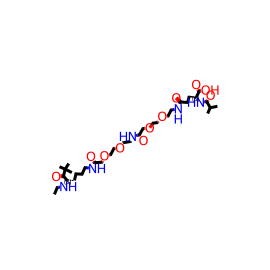 CCN[C@@H](CCCCNC(=O)COCCOCCNC(=O)COCCOCCNC(=O)CC[C@H](NC(=O)C(C)C)C(=O)O)C(=O)C(C)(C)C